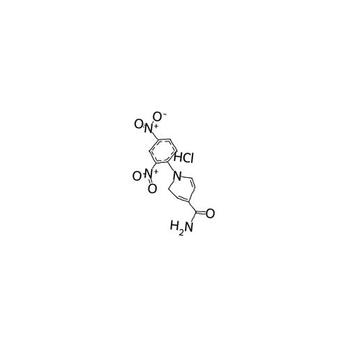 Cl.NC(=O)C1=CCN(c2ccc([N+](=O)[O-])cc2[N+](=O)[O-])C=C1